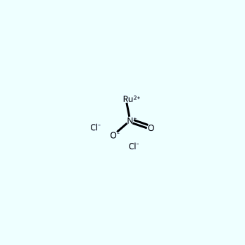 O=[N+]([O-])[Ru+2].[Cl-].[Cl-]